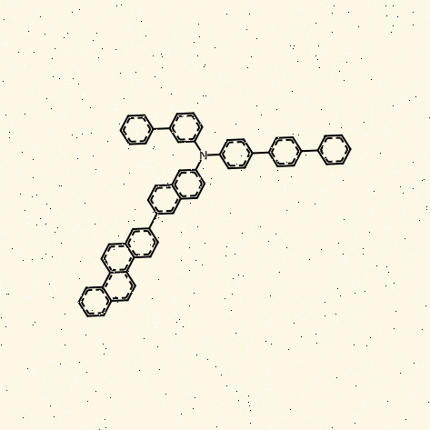 c1ccc(-c2ccc(-c3ccc(N(c4cccc(-c5ccccc5)c4)c4ccc5cc(-c6ccc7c(ccc8c9ccccc9ccc78)c6)ccc5c4)cc3)cc2)cc1